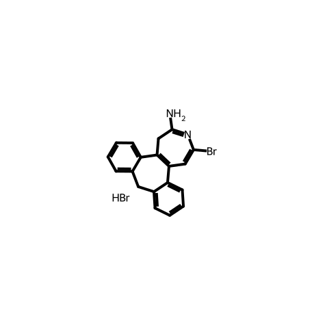 Br.NC1=NC(Br)=CC2=C(C1)c1ccccc1Cc1ccccc12